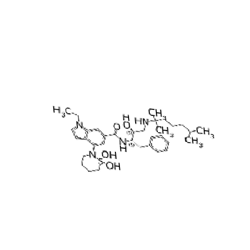 CCn1ccc2c(N3CCCCS3(O)O)cc(C(=O)N[C@@H](Cc3ccccc3)[C@@H](O)CNC(C)(C)CCCC(C)C)cc21